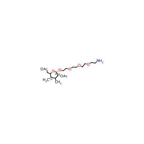 CC(=O)OCC1O[C@H](OCCOCCOCCOCCN)[C@H](OC(C)=O)C(C)[C@@H]1C